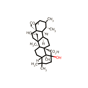 C[C@@H]1[C@H]2[C@H]3CC[C@@H]4[C@]5(C)[C@@H](CC[C@@]4(C)[C@]3(CC(=O)O)CC[C@@]2(CC(=O)O)CC[C@H]1C)C(C)(C)CCC5(O)C(=O)O